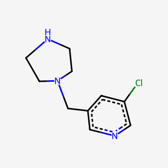 Clc1cncc(CN2CCNCC2)c1